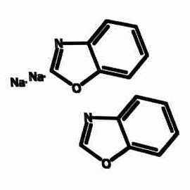 [Na].[Na].c1ccc2ocnc2c1.c1ccc2ocnc2c1